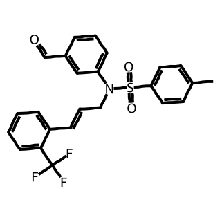 Cc1ccc(S(=O)(=O)N(C/C=C/c2ccccc2C(F)(F)F)c2cccc(C=O)c2)cc1